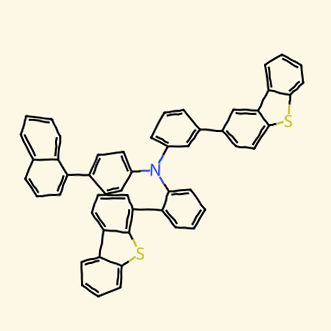 c1cc(-c2ccc3sc4ccccc4c3c2)cc(N(c2ccc(-c3cccc4ccccc34)cc2)c2ccccc2-c2cccc3c2sc2ccccc23)c1